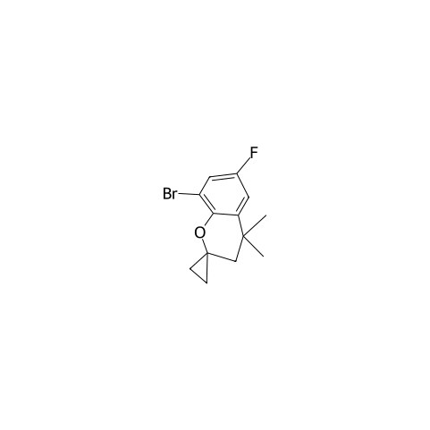 CC1(C)CC2(CC2)Oc2c(Br)cc(F)cc21